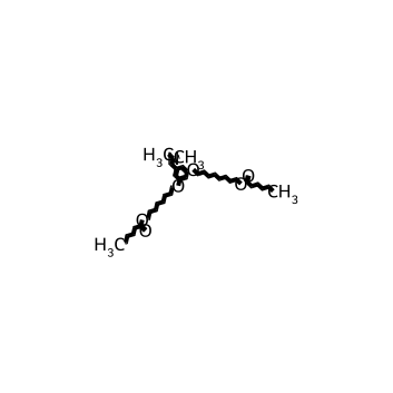 CCCCCC(=O)OCCCCCCCCOc1cc(CN(C)C)cc(OCCCCCCCCOC(=O)CCCCC)c1